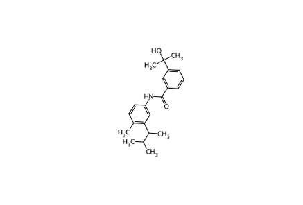 Cc1ccc(NC(=O)c2cccc(C(C)(C)O)c2)cc1C(C)C(C)C